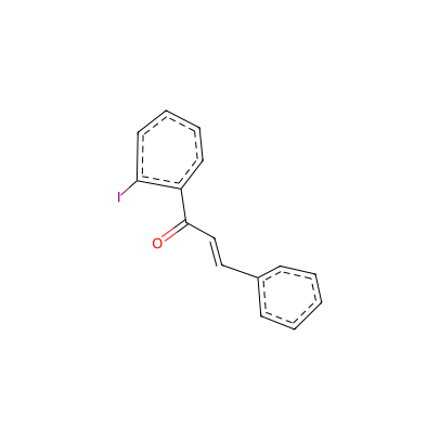 O=C(C=Cc1ccccc1)c1ccccc1I